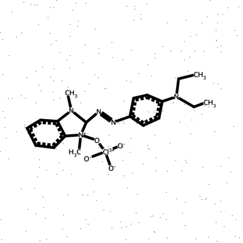 CCN(CC)c1ccc(N=NC2N(C)c3ccccc3[N+]2(C)O[Cl+3]([O-])([O-])[O-])cc1